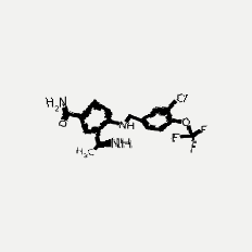 CC(=N)c1cc(C(N)=O)ccc1NCc1ccc(OC(F)(F)F)c(Cl)c1